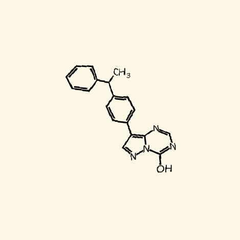 CC(c1ccccc1)c1ccc(-c2cnn3c(O)ncnc23)cc1